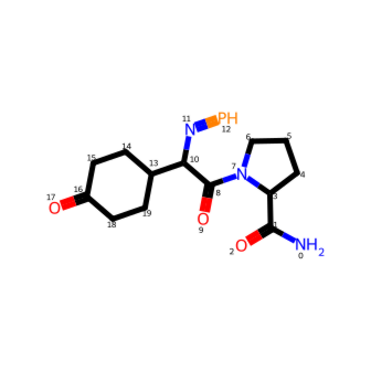 NC(=O)C1CCCN1C(=O)C(N=P)C1CCC(=O)CC1